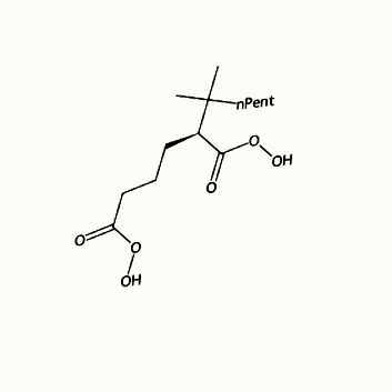 CCCCCC(C)(C)[C@H](CCCC(=O)OO)C(=O)OO